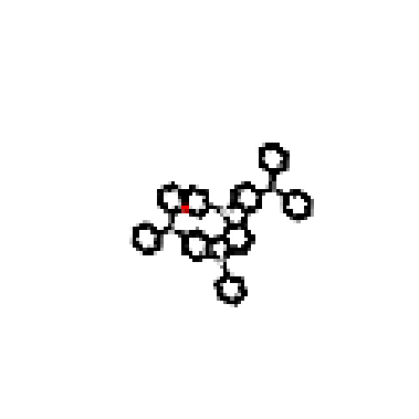 c1ccc(B(c2ccccc2)c2ccc3c(c2)c2c(ccc4c5cc(B(c6ccccc6)c6ccccc6)ccc5n(-c5ccccc5)c42)n3-c2ccccc2)cc1